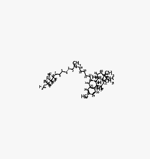 CN(CCCCCCC(F)(F)C(F)(F)C(F)(F)C(F)(F)F)CCCCC[C@@H]1Cc2cc(O)ccc2[C@H]2C(F)C[C@@]3(C)[C@@H](CC[C@]3(C)O)[C@H]12